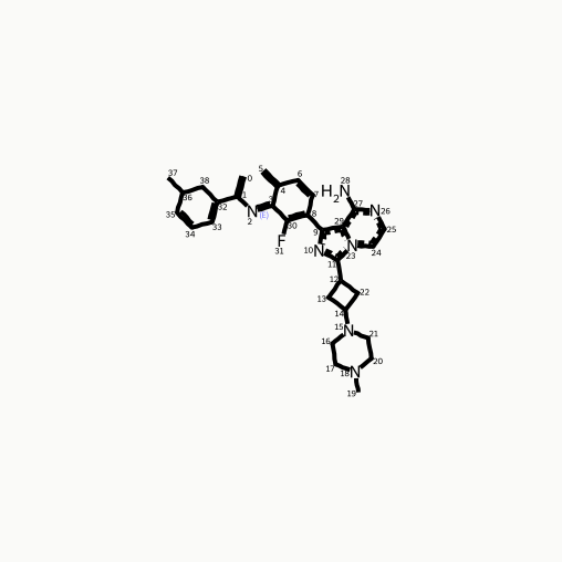 C=C(/N=C1\C(=C)C=CC(c2nc(C3CC(N4CCN(C)CC4)C3)n3ccnc(N)c23)=C1F)C1=CC=CC(C)C1